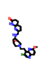 COc1ccc2ncc(F)c(CCN3CC4CC(NCc5ccc6c(n5)NC(=O)CC6)C(C3)O4)c2n1